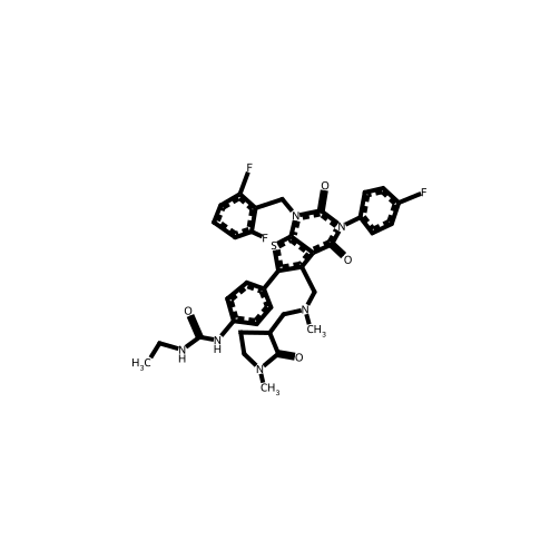 CCNC(=O)Nc1ccc(-c2sc3c(c2CN(C)CC2CCN(C)C2=O)c(=O)n(-c2ccc(F)cc2)c(=O)n3Cc2c(F)cccc2F)cc1